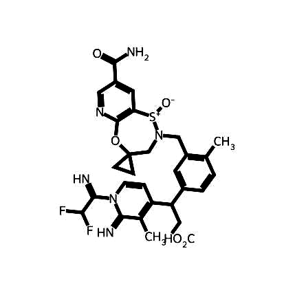 Cc1ccc(C(CC(=O)O)c2ccn(C(=N)C(F)F)c(=N)c2C)cc1CN1CC2(CC2)Oc2ncc(C(N)=O)cc2[S+]1[O-]